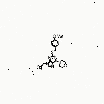 COc1ccc(CSc2nc(N3CCOCC3)c3ncn(CC4CO4)c3n2)cc1